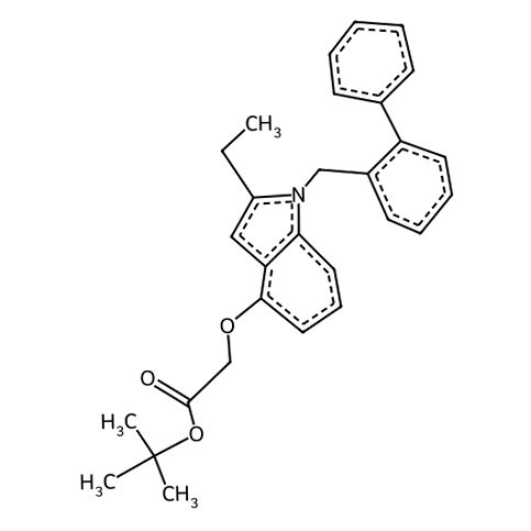 CCc1cc2c(OCC(=O)OC(C)(C)C)cccc2n1Cc1ccccc1-c1ccccc1